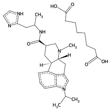 CC(Cc1ncc[nH]1)NC(=O)[C@@H]1C[C@@H]2c3cccc4c3c(cn4C(C)C)C[C@H]2N(C)C1.O=C(O)CCCCCCC(=O)O